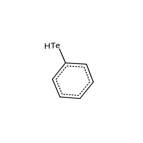 [TeH]c1ccccc1